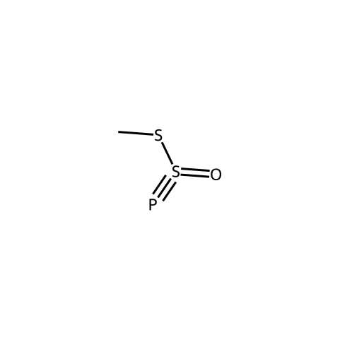 CSS(=O)#P